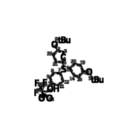 CC(C)(C)Oc1ccc([S+](c2ccccc2)c2ccc(OC(C)(C)C)cc2)cc1.O=S(=O)(O)C(F)(F)F